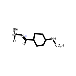 CC/C(=N\[S@@+]([O-])C(C)(C)C)C1CCC(NC(=O)O)CC1